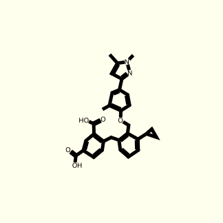 Cc1cc(-c2cc(C)n(C)n2)ccc1OCc1c(Cc2ccc(C(=O)O)cc2C(=O)O)cccc1C1CC1